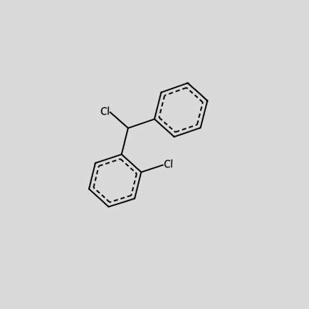 Clc1ccccc1C(Cl)c1ccccc1